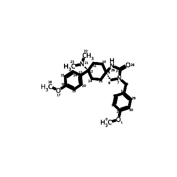 COc1ccc(CN2C[C@]3(CC[C@@](c4ccc(OC)cc4)(N(C)C)CC3)NC2=O)cc1